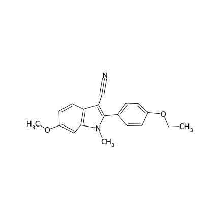 CCOc1ccc(-c2c(C#N)c3ccc(OC)cc3n2C)cc1